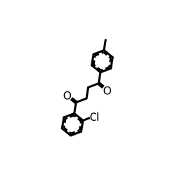 Cc1ccc(C(=O)CCC(=O)c2ccccc2Cl)cc1